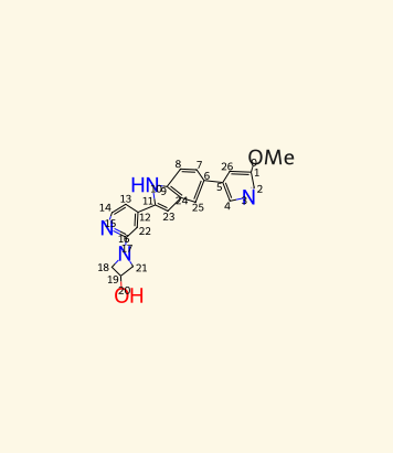 COc1cncc(-c2ccc3[nH]c(-c4ccnc(N5CC(O)C5)c4)cc3c2)c1